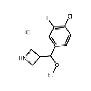 CCOC(c1ccc(Cl)c(F)c1)C1CNC1.Cl